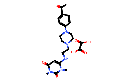 CC(=O)c1ccc(N2CCN(CCNc3cc(=O)n(C)c(=O)n3C)CC2)cc1.O=C(O)C(=O)O